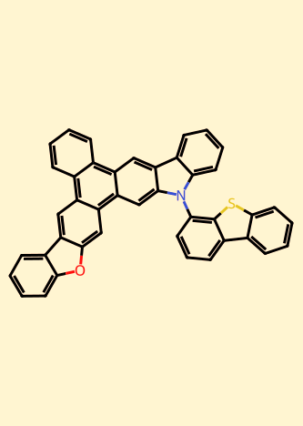 c1ccc2c(c1)oc1cc3c(cc12)c1ccccc1c1cc2c4ccccc4n(-c4cccc5c4sc4ccccc45)c2cc31